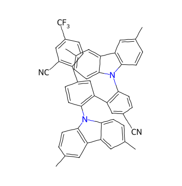 Cc1ccc2c(c1)c1cc(C)ccc1n2-c1ccc(C#N)cc1-c1cc(-c2ccc(C(F)(F)F)cc2C#N)ccc1-n1c2ccc(C)cc2c2cc(C)ccc21